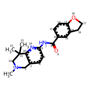 CN1Cc2ccc(NC(=O)c3ccc4c(c3)CCO4)nc2C(C)(C)C1